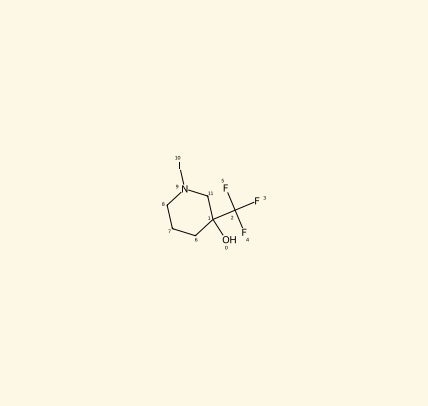 OC1(C(F)(F)F)CCCN(I)C1